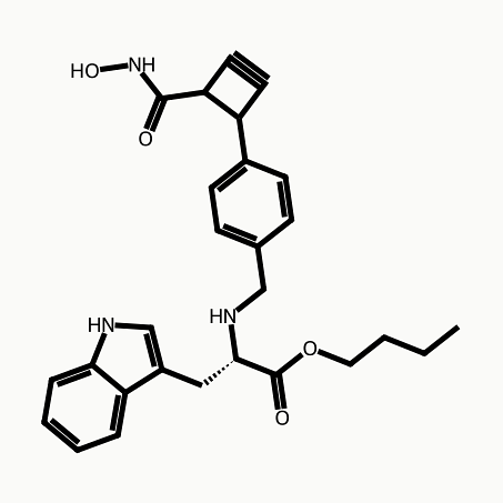 CCCCOC(=O)[C@H](Cc1c[nH]c2ccccc12)NCc1ccc(C2C#CC2C(=O)NO)cc1